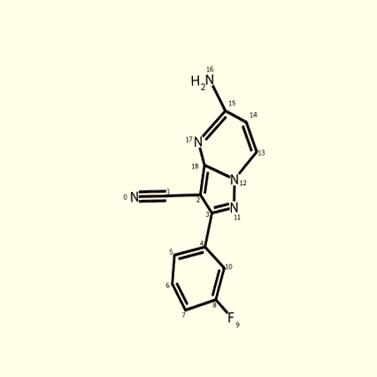 N#Cc1c(-c2cccc(F)c2)nn2ccc(N)nc12